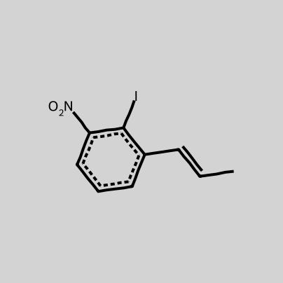 CC=Cc1cccc([N+](=O)[O-])c1I